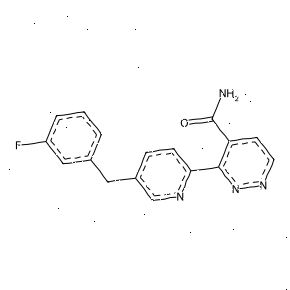 NC(=O)c1ccnnc1-c1ccc(Cc2cccc(F)c2)cn1